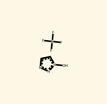 F[B-](F)(F)F.On1ccnn1